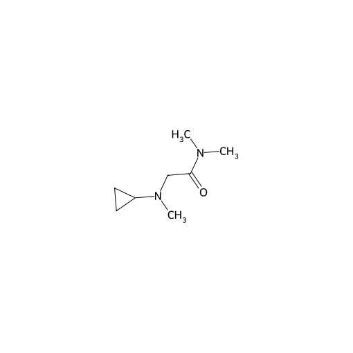 CN(C)C(=O)CN(C)C1CC1